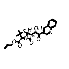 C=CCOC(=O)[C@@H]1N2C(=O)[C@@H]([C@H](O)C(=O)c3cnc4ccccc4c3)[C@H]2SC1(C)C